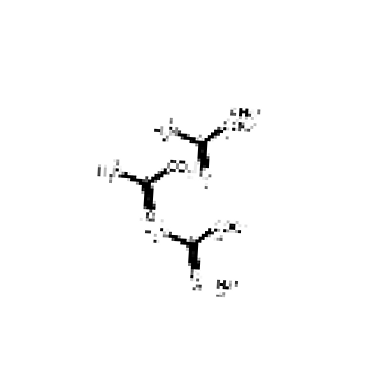 NC(=O)C(=O)O.NC(=O)C(=O)[O-].NC(=O)C(=O)[O-].[Na+].[Na+]